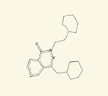 O=c1c2ccccc2c(CC2CCCCC2)nn1CCC1CCCCC1